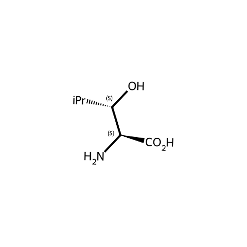 CC(C)[C@H](O)[C@H](N)C(=O)O